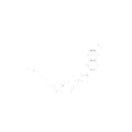 O=C(N[C@@]1(S)CC[C@H](c2nnc(OCCOC(F)(F)F)o2)NC1)c1ccc2cc(C(F)(F)F)ccc2n1